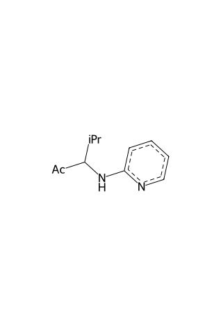 CC(=O)C(Nc1ccccn1)C(C)C